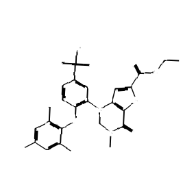 CCNC(=O)c1cc2c([nH]1)C(=O)N(C)CN2c1cc(C(C)(C)O)ccc1Oc1c(C)cc(F)cc1C